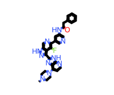 CN1CCN(c2ccnc3[nH]c(-c4n[nH]c5cnc(-c6cncc(NC(=O)Cc7ccccc7)c6)c(F)c45)nc23)CC1